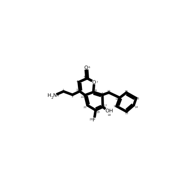 NCCc1cc(=O)oc2c(Cc3ccccc3)c(O)c(F)cc12